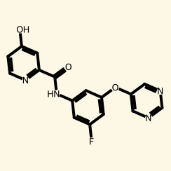 O=C(Nc1cc(F)cc(Oc2cncnc2)c1)c1cc(O)ccn1